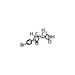 CC1(CCC2(C)CC(=O)N(c3ccc(Br)cc3)C2)CNC(=O)C1